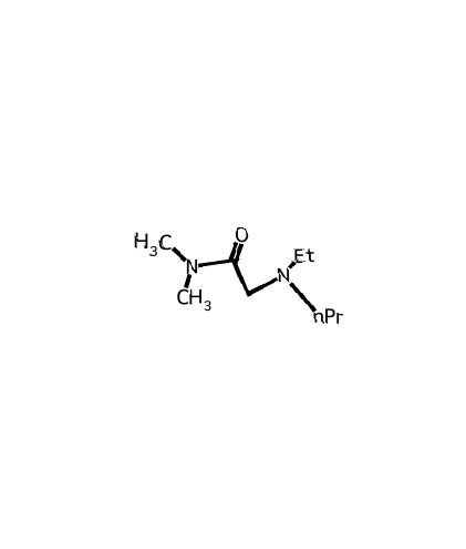 CCCN(CC)CC(=O)N(C)C